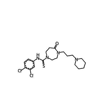 O=C1CCN(C(=S)Nc2ccc(Cl)c(Cl)c2)CCN1CCCN1CCCCC1